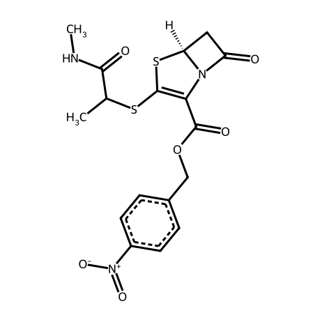 CNC(=O)C(C)SC1=C(C(=O)OCc2ccc([N+](=O)[O-])cc2)N2C(=O)C[C@@H]2S1